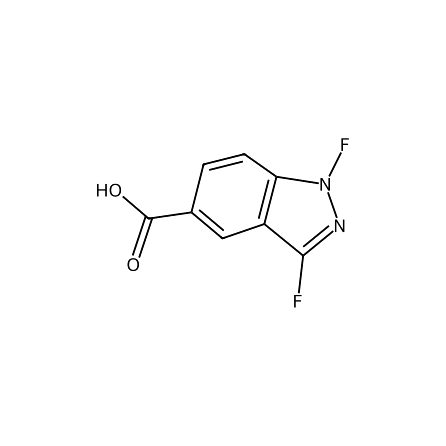 O=C(O)c1ccc2c(c1)c(F)nn2F